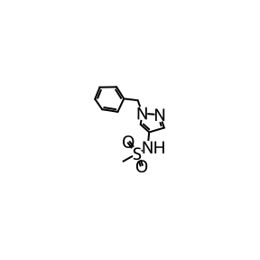 CS(=O)(=O)Nc1cnn(Cc2ccccc2)c1